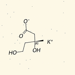 C[C@@](O)(CCO)CC(=O)[O-].[K+]